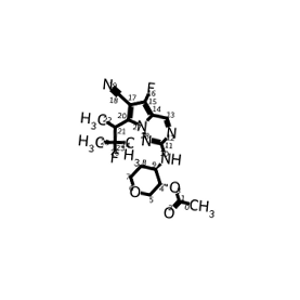 CC(=O)O[C@@H]1COCC[C@H]1Nc1ncc2c(F)c(C#N)c(C(C)C(C)(C)F)n2n1